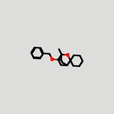 CC12CCC(CC1OCc1ccccc1)C1(CCCCC1)O2